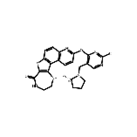 C[C@H]1CCCN1Cc1cnc(Cl)nc1Oc1ccc2c(ccc3sc4c(c32)NCCNC4=O)n1